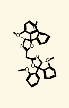 COc1ccccc1C1(c2ccccc2OC)OC(CC2=N[C@H](C)C(c3ccccc3OC)(c3ccccc3OC)O2)=N[C@@H]1C